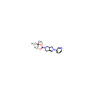 CC(C)(C)OC(=O)N1CC2=CN(c3cccnc3)CC2C1